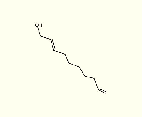 C=CCCCCCC=CCO